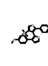 COc1ccc(-c2ccoc2-c2c([Si](C)(C)C)coc2-c2ccccc2)cc1